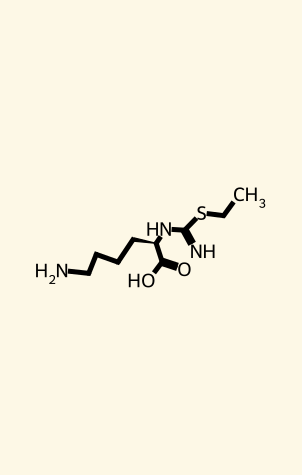 CCSC(=N)N[C@H](CCCCN)C(=O)O